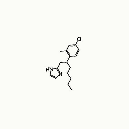 CCCCCC(Cc1ncc[nH]1)c1ccc(Cl)cc1C